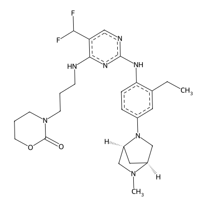 CCc1cc(N2C[C@@H]3C[C@H]2CN3C)ccc1Nc1ncc(C(F)F)c(NCCCN2CCCOC2=O)n1